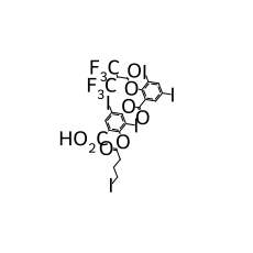 O=C(CCCI)Oc1c(C(=O)O)cc(I)c(OC(=O)c2cc(I)cc(I)c2OC(=O)C(C(F)(F)F)C(F)(F)F)c1I